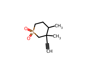 C#CC1(C)CS(=O)(=O)CCC1C